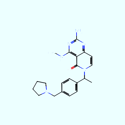 CCCCNc1nc(N)nc2ccn(C(C)c3ccc(CN4CCCC4)cc3)c(=O)c12